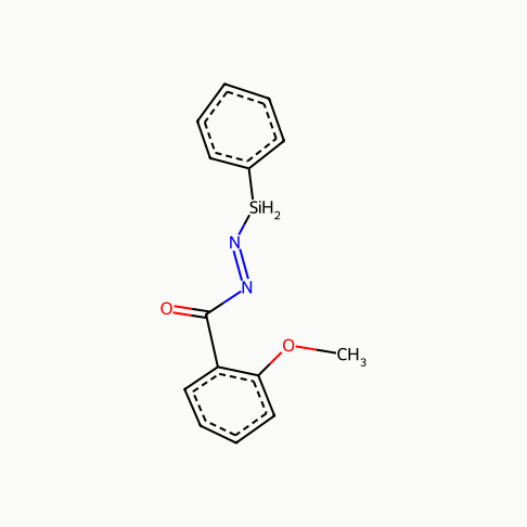 COc1ccccc1C(=O)N=N[SiH2]c1ccccc1